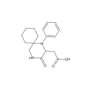 O=C(O)CC1C(=O)NCC2(CCCCC2)N1c1ccccc1